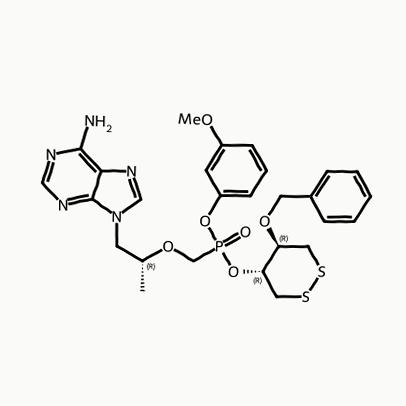 COc1cccc(OP(=O)(CO[C@H](C)Cn2cnc3c(N)ncnc32)O[C@H]2CSSC[C@@H]2OCc2ccccc2)c1